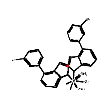 CC(C)c1cccc(-c2cccc3c2C=C[CH]3[Hf]([CH3])([CH3])(=[SiH2])([CH]2C=Cc3c(-c4cccc(C(C)C)c4)cccc32)([C](C)(C)C)[C](C)(C)C)c1